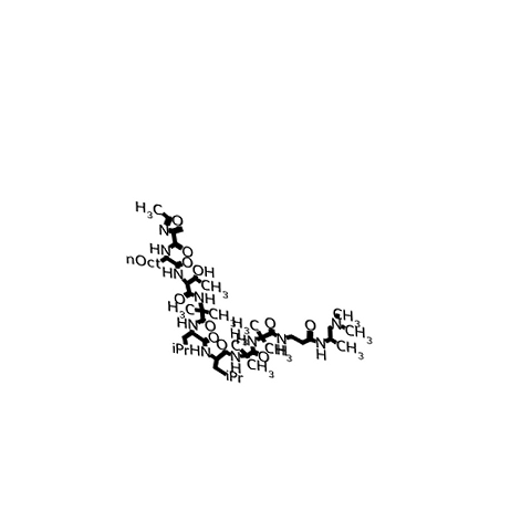 CCCCCCCCC(NC(=O)c1coc(C)n1)C(=O)NC(C(=O)NC(C)(C)C(=O)NC(CC(C)C)C(=O)NC(CC(C)C)C(=O)NC(C)(C)C(=O)NC(C)(C)C(=O)NCCC(=O)NC(C)CN(C)C)C(C)O